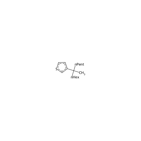 CCCCCCC(C)(CCCCC)c1ccsc1